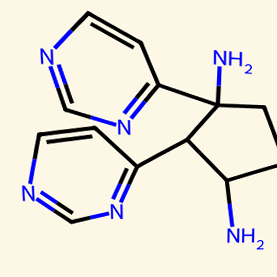 NC1CCC(N)(c2ccncn2)C1c1ccncn1